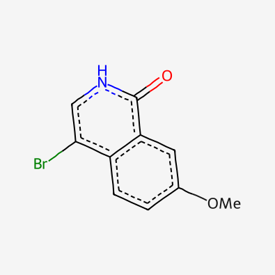 COc1ccc2c(Br)c[nH]c(=O)c2c1